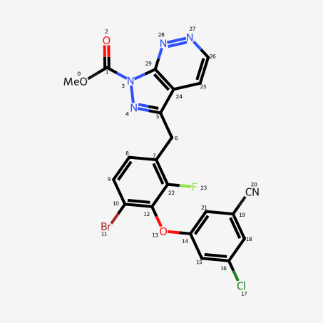 COC(=O)n1nc(Cc2ccc(Br)c(Oc3cc(Cl)cc(C#N)c3)c2F)c2ccnnc21